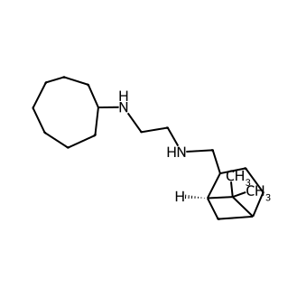 CC1(C)C2CCC(CNCCNC3CCCCCCC3)[C@@H]1C2